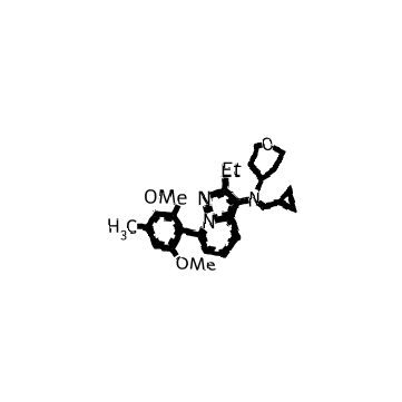 CCc1nn2c(-c3c(OC)cc(C)cc3OC)cccc2c1N(CC1CC1)C1CCOCC1